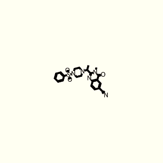 CC(c1nc2ccc(C#N)cc2c(=O)n1C)N1CCN(S(=O)(=O)c2ccccc2)CC1